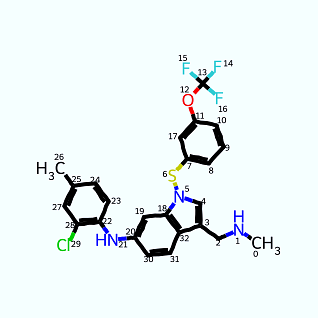 CNCc1cn(Sc2cccc(OC(F)(F)F)c2)c2cc(Nc3ccc(C)cc3Cl)ccc12